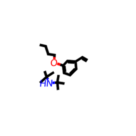 C=Cc1cccc(OCCCC)c1.CC(C)(C)NC(C)(C)C